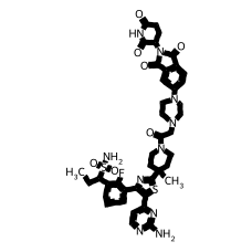 CCC(c1cccc(-c2nc(C3(C)CCN(C(=O)CN4CCN(c5ccc6c(c5)C(=O)N(C5CCC(=O)NC5=O)C6=O)CC4)CC3)sc2-c2ccnc(N)n2)c1F)S(N)(=O)=O